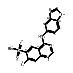 CCc1cc2ncnc(Nc3ccc4scnc4c3)c2cc1S(=O)(=O)C(C)(C)C